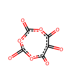 O=c1oc(=O)oc(=O)c(=O)c(=O)o1